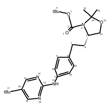 CC(C)(C)OC(=O)N1[C@@H](CCc2ccc(Nc3ncc(C(C)(C)C)cn3)cc2)COC1(C)C